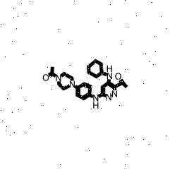 CC(=O)c1nnc(Nc2ccc(N3CCN(C(C)=O)CC3)cc2)cc1NC1CCCCC1